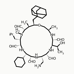 CC(C)C[C@H]1[C@@H](C=O)N[C@@H](C2CCCCC2)[C@@H](C=O)N[C@@H](CN)[C@@H](C=O)N[C@H]([C@H](C)O)[C@@H](C=O)N[C@H](C)CO[C@H](CC23CC4CC(CC(C4)C2)C3)[C@H](C)[C@@H](C=O)N1C